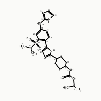 CC(C)OC(=O)NC1CCC(c2ccc(-c3ccc(Nc4ncc[nH]4)cc3S(=O)(=O)N(C)C)s2)CC1